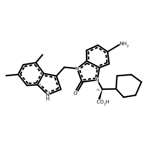 Cc1cc(C)c2c(Cn3c(=O)n([C@H](C(=O)O)C4CCCCC4)c4cc(N)ccc43)c[nH]c2c1